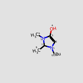 CCCCN1C=C(O)N(C)C1C